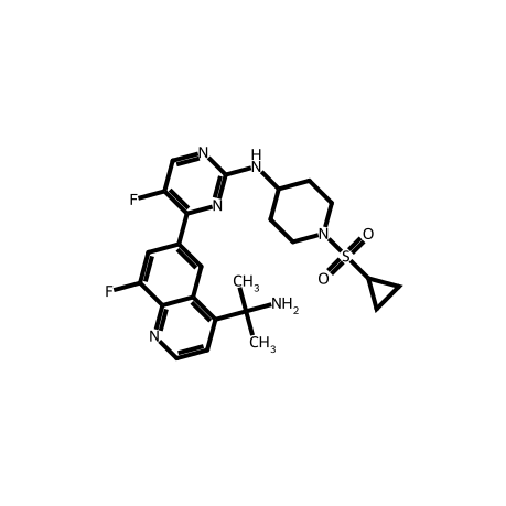 CC(C)(N)c1ccnc2c(F)cc(-c3nc(NC4CCN(S(=O)(=O)C5CC5)CC4)ncc3F)cc12